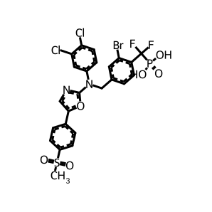 CS(=O)(=O)c1ccc(-c2cnc(N(Cc3ccc(C(F)(F)P(=O)(O)O)c(Br)c3)c3ccc(Cl)c(Cl)c3)o2)cc1